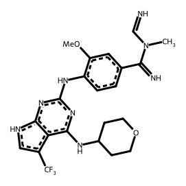 COc1cc(C(=N)N(C)C=N)ccc1Nc1nc(NC2CCOCC2)c2c(C(F)(F)F)c[nH]c2n1